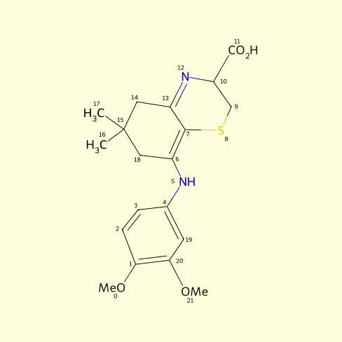 COc1ccc(NC2=C3SCC(C(=O)O)N=C3CC(C)(C)C2)cc1OC